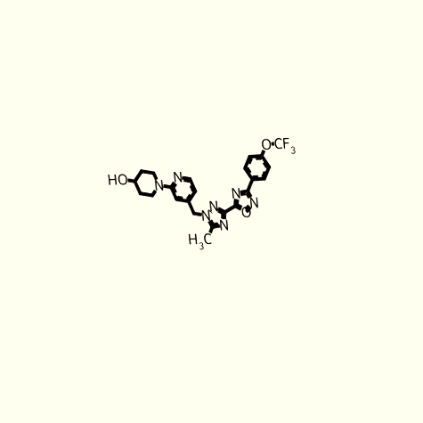 Cc1nc(-c2nc(-c3ccc(OC(F)(F)F)cc3)no2)nn1Cc1ccnc(N2CCC(O)CC2)c1